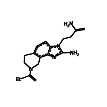 C=C(N)CCn1c(N)nc2c3c(ccc21)CCN(C(=C)CC)C3